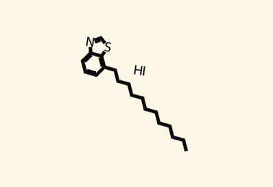 CCCCCCCCCCCCc1cccc2ncsc12.I